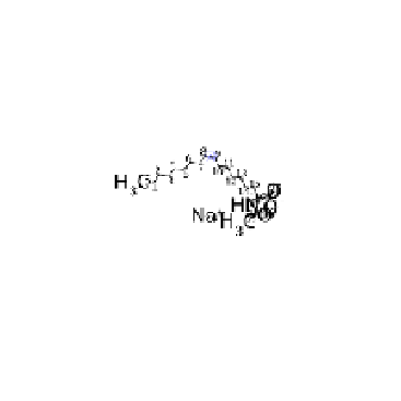 CCCCCCCC/C=C\CCCCCCC(NC(C)=O)C(=O)[O-].[Na+]